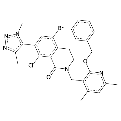 Cc1cc(C)c(CN2CCc3c(Br)cc(-c4c(C)nnn4C)c(Cl)c3C2=O)c(OCc2ccccc2)n1